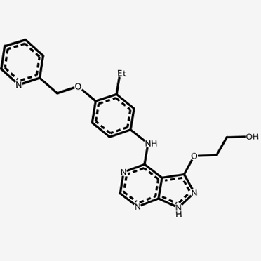 CCc1cc(Nc2ncnc3[nH]nc(OCCO)c23)ccc1OCc1ccccn1